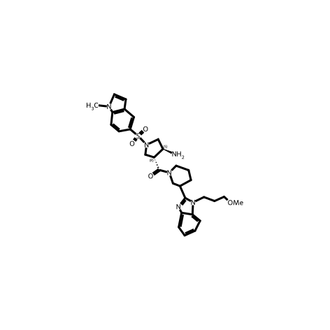 COCCCn1c(C2CCCN(C(=O)[C@@H]3CN(S(=O)(=O)c4ccc5c(ccn5C)c4)C[C@H]3N)C2)nc2ccccc21